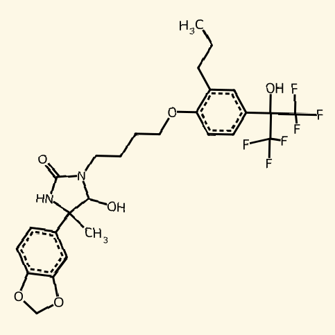 CCCc1cc(C(O)(C(F)(F)F)C(F)(F)F)ccc1OCCCCN1C(=O)NC(C)(c2ccc3c(c2)OCO3)C1O